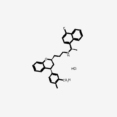 Cc1ccc([C@@H]2C[C@H](CCCN[C@H](C)c3ccc(F)c4ccccc34)Oc3ccccc32)cc1C(=O)O.Cl